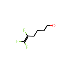 [O]CCCCC(F)=C(F)F